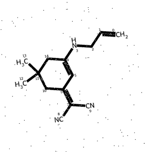 C=CCNC1=CC(=C(C#N)C#N)CC(C)(C)C1